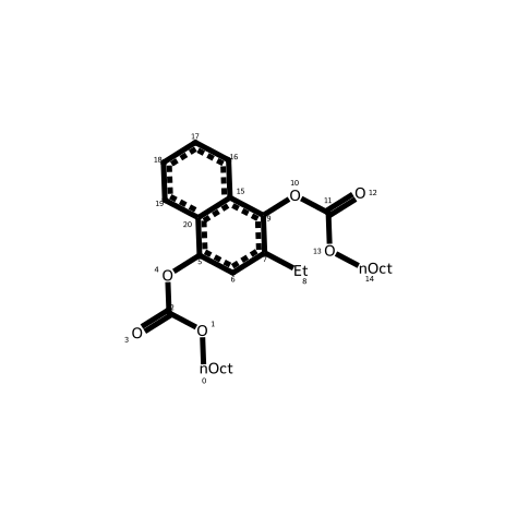 CCCCCCCCOC(=O)Oc1cc(CC)c(OC(=O)OCCCCCCCC)c2ccccc12